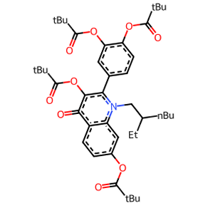 CCCCC(CC)Cn1c(-c2ccc(OC(=O)C(C)(C)C)c(OC(=O)C(C)(C)C)c2)c(OC(=O)C(C)(C)C)c(=O)c2ccc(OC(=O)C(C)(C)C)cc21